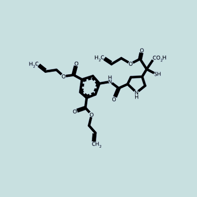 C=CCOC(=O)c1cc(NC(=O)C2CC(C(S)(C(=O)O)C(=O)OCC=C)CN2)cc(C(=O)OCC=C)c1